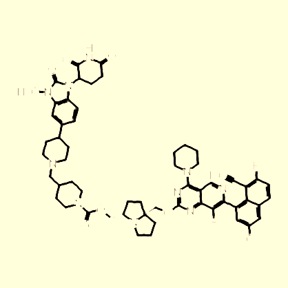 C#Cc1c(F)ccc2cc(O)cc(-c3ncc4c(N5CCCCC5)nc(OC[C@@]56CCCN5[C@H](COC(=O)N5CCC(CN7CCC(c8ccc9c(c8)n(C)c(=O)n9C8CCC(=O)NC8=O)CC7)CC5)CC6)nc4c3F)c12